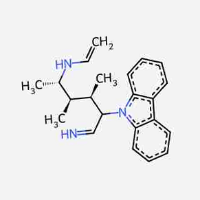 C=CN[C@@H](C)[C@H](C)[C@@H](C)C(C=N)n1c2ccccc2c2ccccc21